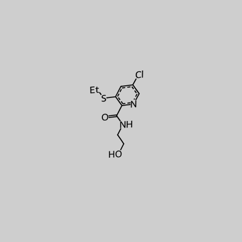 CCSc1cc(Cl)cnc1C(=O)NCCO